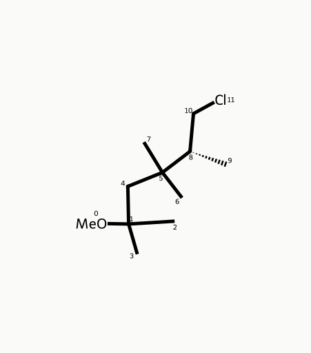 COC(C)(C)CC(C)(C)[C@@H](C)CCl